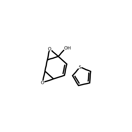 OC12C=CC3OC3C1O2.c1ccsc1